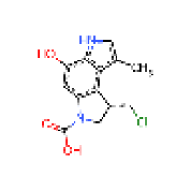 Cc1c[nH]c2c(O)cc3c(c12)[C@H](CCl)CN3C(=O)O